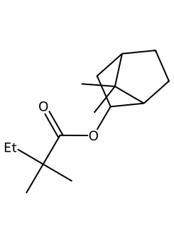 CCC(C)(C)C(=O)OC1CC2CCC1C2(C)C